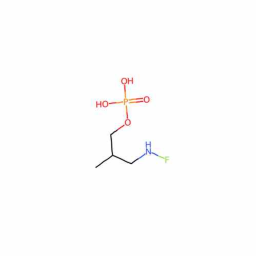 CC(CNF)COP(=O)(O)O